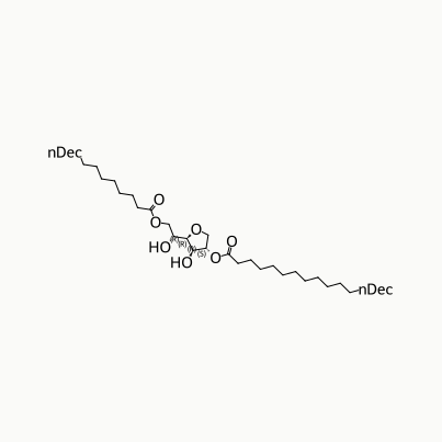 CCCCCCCCCCCCCCCCCCCCCC(=O)O[C@H]1CO[C@H]([C@H](O)COC(=O)CCCCCCCCCCCCCCCCC)[C@@H]1O